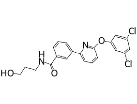 O=C(NCCCO)c1cccc(-c2cccc(Oc3cc(Cl)cc(Cl)c3)n2)c1